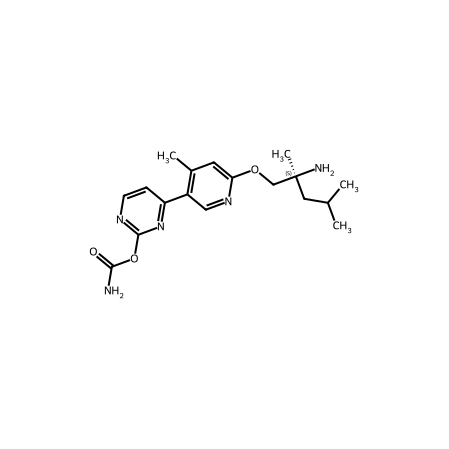 Cc1cc(OC[C@@](C)(N)CC(C)C)ncc1-c1ccnc(OC(N)=O)n1